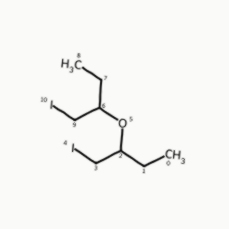 CCC(CI)OC(CC)CI